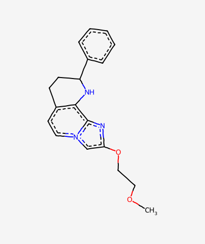 COCCOc1cn2ccc3c(c2n1)NC(c1ccccc1)CC3